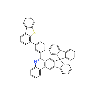 c1cc(-c2nc3ccccc3c3cc4c(cc23)C2(c3ccccc3-c3ccccc32)c2ccccc2-4)cc(-c2cccc3c2sc2ccccc23)c1